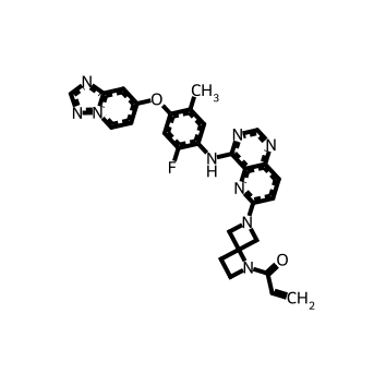 C=CC(=O)N1CCC12CN(c1ccc3ncnc(Nc4cc(C)c(Oc5ccn6ncnc6c5)cc4F)c3n1)C2